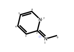 C/N=C1/C=CC=C[N]1